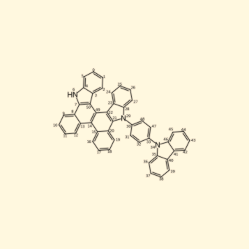 c1ccc2c(c1)[nH]c1c3ccccc3c3c4ccccc4c4c(c5ccccc5n4-c4ccc(-n5c6ccccc6c6ccccc65)cc4)c3c21